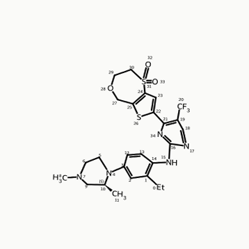 CCc1cc(N2CCN(C)C[C@@H]2C)ccc1Nc1ncc(C(F)(F)F)c(-c2cc3c(s2)COCCS3(=O)=O)n1